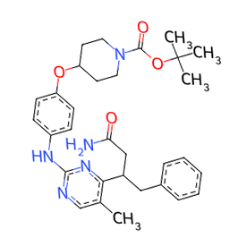 Cc1cnc(Nc2ccc(OC3CCN(C(=O)OC(C)(C)C)CC3)cc2)nc1C(CC(N)=O)Cc1ccccc1